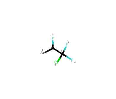 CC(=O)C(F)C(F)(F)Cl